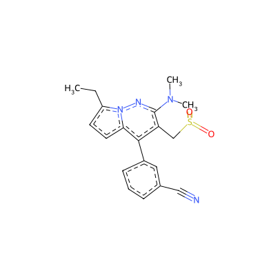 CCc1ccc2c(-c3cccc(C#N)c3)c(C[SH](=O)=O)c(N(C)C)nn12